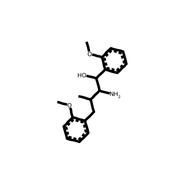 COc1ccccc1CC(C)C(N)C(O)c1ccccc1OC